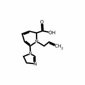 C=CCN1C(N2C=NCC2)=CC=CC1C(=O)O